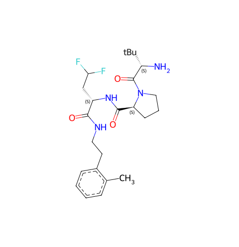 Cc1ccccc1CCNC(=O)[C@H](CC(F)F)NC(=O)[C@@H]1CCCN1C(=O)[C@@H](N)C(C)(C)C